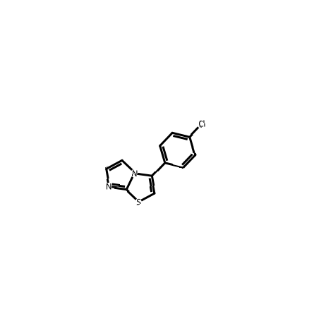 Clc1ccc(-c2csc3nccn23)cc1